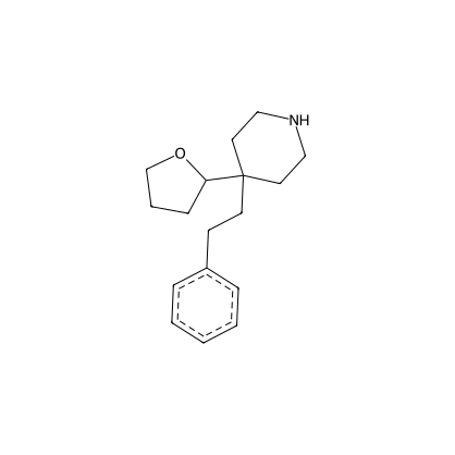 c1ccc(CCC2(C3CCCO3)CCNCC2)cc1